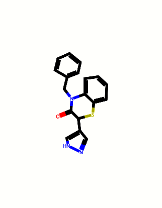 O=C1C(c2cn[nH]c2)Sc2ccccc2N1Cc1ccccc1